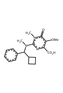 COc1c(C(=O)O)nc(N(C)C(c2ccccc2)C2CCC2)n(C)c1=O